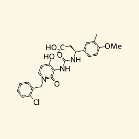 COc1ccc([C@H](CC(=O)O)NC(=O)Nc2c(O)ccn(Cc3ccccc3Cl)c2=O)cc1C